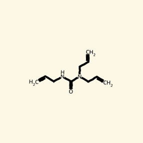 C=C[CH]NC(=O)N(CC=C)CC=C